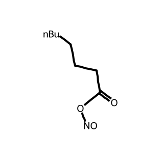 CCCCCCCC(=O)ON=O